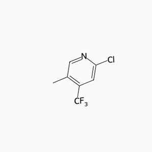 Cc1cnc(Cl)cc1C(F)(F)F